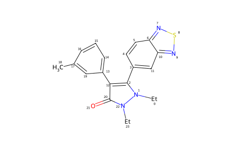 CCn1c(-c2ccc3nsnc3c2)c(-c2cccc(C)c2)c(=O)n1CC